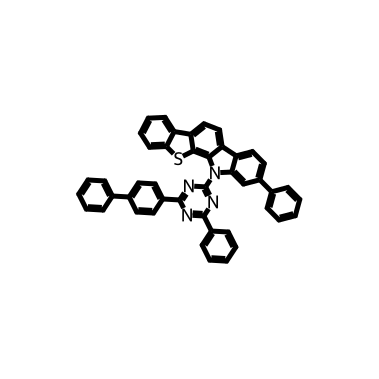 c1ccc(-c2ccc(-c3nc(-c4ccccc4)nc(-n4c5cc(-c6ccccc6)ccc5c5ccc6c7ccccc7sc6c54)n3)cc2)cc1